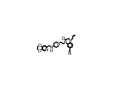 C=CCN1CC(=O)N(CCN2CCC(NCc3cc4c(cn3)OCCO4)CC2)c2cc(C#N)ccc21